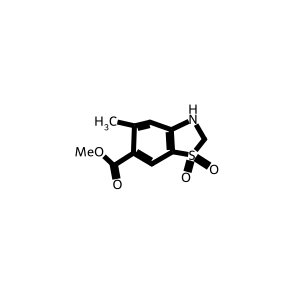 COC(=O)c1cc2c(cc1C)NCS2(=O)=O